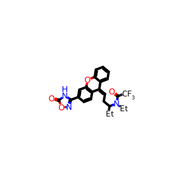 CCC(C/C=C1/c2ccccc2Oc2cc(-c3noc(=O)[nH]3)ccc21)N(CC)C(=O)C(F)(F)F